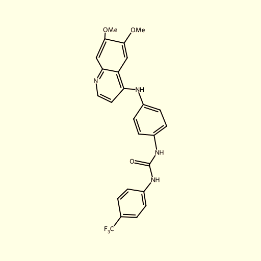 COc1cc2nccc(Nc3ccc(NC(=O)Nc4ccc(C(F)(F)F)cc4)cc3)c2cc1OC